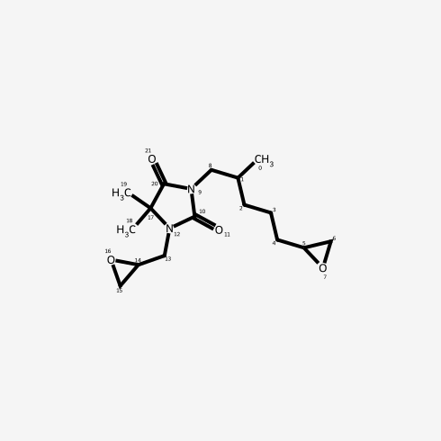 CC(CCCC1CO1)CN1C(=O)N(CC2CO2)C(C)(C)C1=O